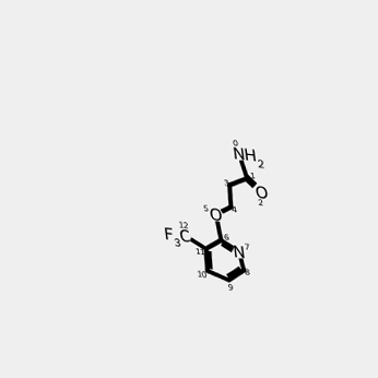 NC(=O)CCOc1ncccc1C(F)(F)F